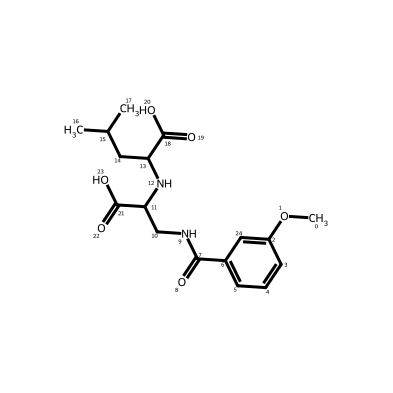 COc1cccc(C(=O)NCC(NC(CC(C)C)C(=O)O)C(=O)O)c1